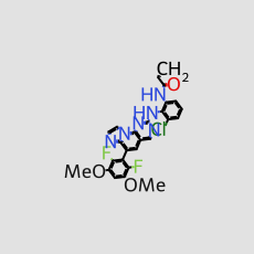 C=CC(=O)Nc1cccc(Cl)c1Nc1ncc2cc(-c3c(F)c(OC)cc(OC)c3F)c3nccn3c2n1